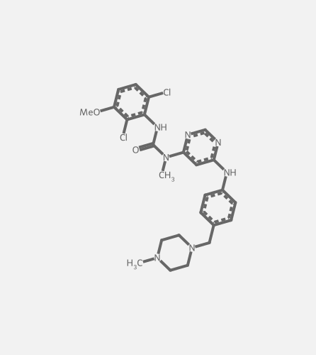 COc1ccc(Cl)c(NC(=O)N(C)c2cc(Nc3ccc(CN4CCN(C)CC4)cc3)ncn2)c1Cl